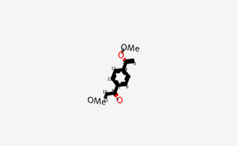 C=C(OOC)c1ccc(C(=O)COC)cc1